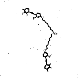 CCC(CCCCCCCCOc1ccc(C#Cc2ccc(C)c(F)c2F)c(F)c1)CCCCCCCCOc1ccc(C#Cc2ccc(C)c(F)c2F)c(F)c1